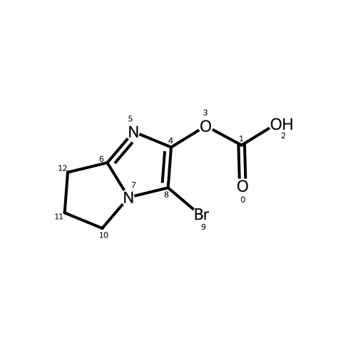 O=C(O)Oc1nc2n(c1Br)CCC2